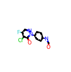 O=C=Nc1ccc(-n2ncc(F)c(Cl)c2=O)cc1